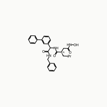 CC(C)C[C@H](CC(=O)NO)C(=O)NC(C(=O)NCc1ccccc1)c1cccc(-c2ccccc2)c1